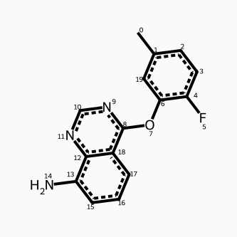 Cc1ccc(F)c(Oc2ncnc3c(N)cccc23)c1